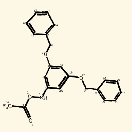 O=C(ONc1cc(OCc2ccccc2)cc(OCc2ccccc2)c1)C(F)(F)F